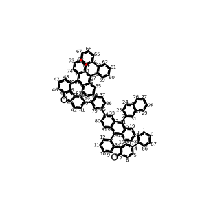 c1ccc(-c2ccc3oc4cccc(-c5c6ccccc6c(-c6ccc7ccccc7c6)c6cc(-c7cccc(-c8ccc9oc%10cccc(-c%11c%12ccccc%12c(-c%12ccccc%12-c%12ccccc%12)c%12ccccc%11%12)c%10c9c8)c7)ccc56)c4c3c2)cc1